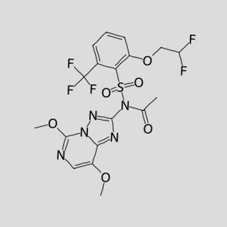 COc1cnc(OC)n2nc(N(C(C)=O)S(=O)(=O)c3c(OCC(F)F)cccc3C(F)(F)F)nc12